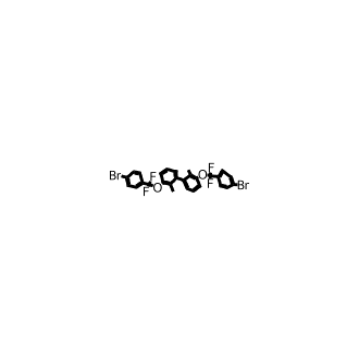 Cc1c(OC(F)(F)c2ccc(Br)cc2)cccc1-c1cccc(OC(F)(F)c2ccc(Br)cc2)c1C